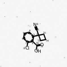 N#CC1(c2cccc(Cl)c2C(=O)O)CCC1